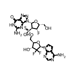 Nc1nc2c(nnn2[C@@H]2O[C@H](CO)[C@H](F)[C@H]2P(O)(=S)OC[C@H]2O[C@@H](n3ccc4c(N)ncnc43)C(F)(F)[C@@H]2O)c(=O)[nH]1